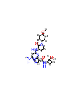 CNc1cc(Nc2cccn([C@H]3CC[C@@H](OC)CC3)c2=O)nc2c(C(=O)N[C@H]3CC[C@]3(C)OC)cnn12